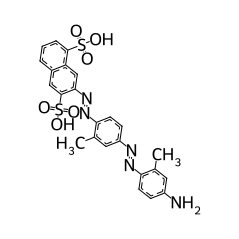 Cc1cc(N)ccc1N=Nc1ccc(N=Nc2cc3c(S(=O)(=O)O)cccc3cc2S(=O)(=O)O)c(C)c1